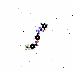 C/C(=N\Oc1ccc(/C=N/NC(=O)Nc2c(C)cccc2C)cc1)c1ccc(OC(F)(F)F)cc1